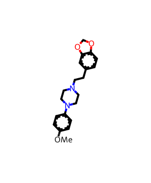 COc1ccc(N2CCN(CCc3ccc4c(c3)OCO4)CC2)cc1